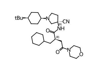 CC(C)(C)[C@H]1CC[C@@H](N2CC[C@@](C#N)(NC(=O)[C@@H](CC(=O)N3CCOCC3)CC3CCCCC3)C2)CC1